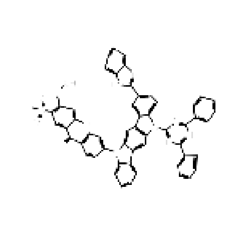 COc1cc(O)c(C(=O)c2ccc(-n3c4ccccc4c4cc5c(cc43)c3cc(-c4nc6ccccc6[nH]4)ccc3n5-c3nc(-c4ccccc4)nc(-c4ccccc4)n3)cc2)cc1S(=O)(=O)O